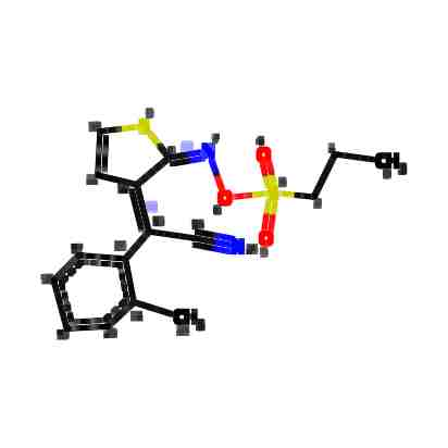 CCCS(=O)(=O)O/N=C1/SC=C/C1=C(/C#N)c1ccccc1C